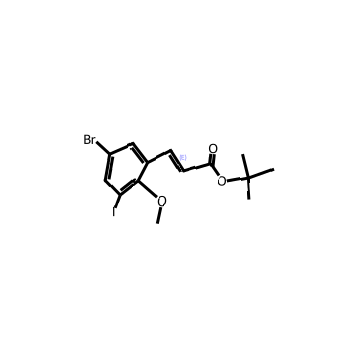 COc1c(I)cc(Br)cc1/C=C/C(=O)OC(C)(C)C